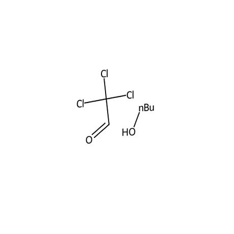 CCCCO.O=CC(Cl)(Cl)Cl